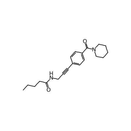 CCCCC(=O)NCC#Cc1ccc(C(=O)N2CCCCC2)cc1